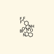 O=c1[nH]c2ccc(C(F)(F)F)cc2c(=O)n1-c1c(Br)ncc2ccccc12